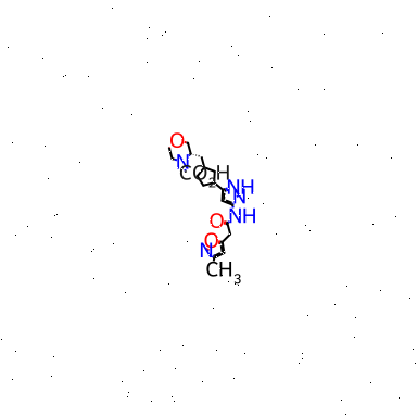 Cc1cc(CC(=O)Nc2cc(C3CCC(C[C@H]4COCCN4C(=O)O)C3)[nH]n2)on1